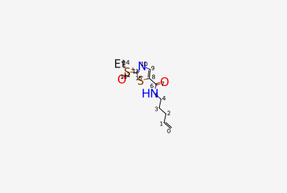 C=CCCCNC(=O)c1cnc([S+]([O-])CC)s1